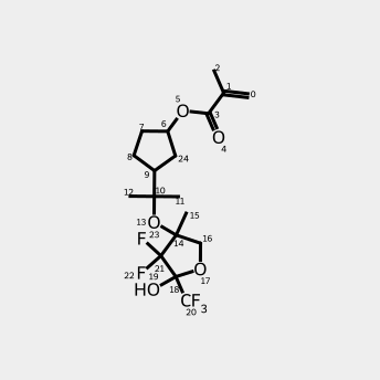 C=C(C)C(=O)OC1CCC(C(C)(C)OC2(C)COC(O)(C(F)(F)F)C2(F)F)C1